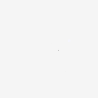 CC/C=C\c1oc2ccc(-c3ccccc3)cc2[n+]1CCS(=O)(=O)O